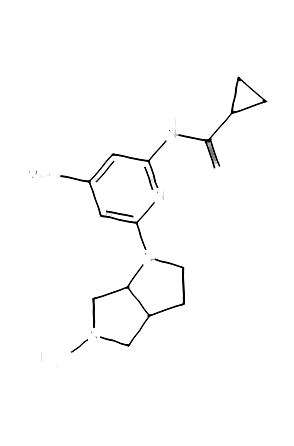 COc1cc(NC(=O)C2CC2)nc(N2CCC3CN(C(=O)O)CC32)c1